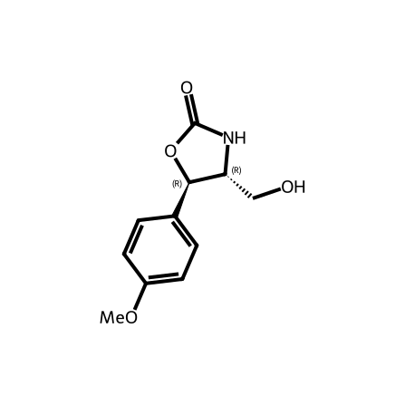 COc1ccc([C@H]2OC(=O)N[C@@H]2CO)cc1